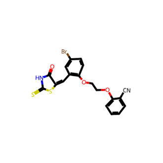 N#Cc1ccccc1OCCOc1ccc(Br)cc1C=C1SC(=S)NC1=O